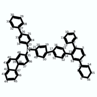 C1=CC(c2ccc(-c3ccccc3)c(-c3ccc(-c4ccc(N(c5ccc(-c6ccccc6)cc5)c5ccc6c(ccc7ccccc76)c5)cc4)cc3)c2)=CCC1